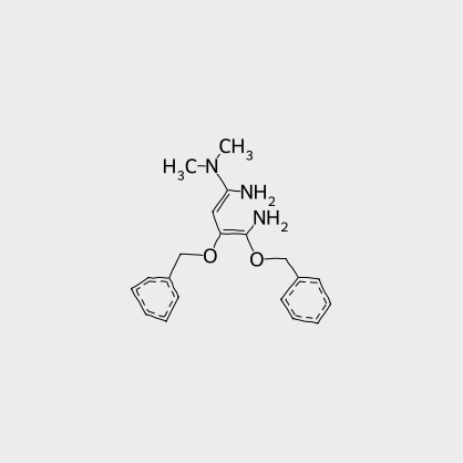 CN(C)/C(N)=C/C(OCc1ccccc1)=C(\N)OCc1ccccc1